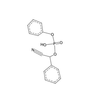 N#CC(OP(=O)(O)Oc1ccccc1)c1ccccc1